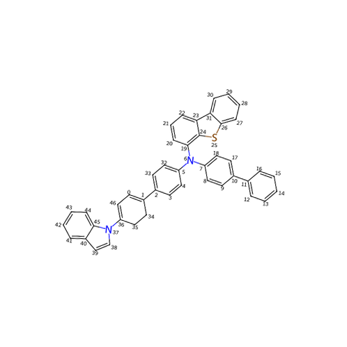 C1=C(c2ccc(N(c3ccc(-c4ccccc4)cc3)c3cccc4c3sc3ccccc34)cc2)CCC(n2ccc3ccccc32)=C1